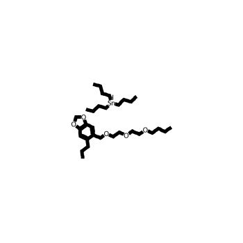 CCCCOCCOCCOCc1cc2c(cc1CCC)OCO2.CCC[CH2][SnH]([CH2]CCC)[CH2]CCC